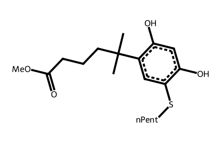 CCCCCSc1cc(C(C)(C)CCCC(=O)OC)c(O)cc1O